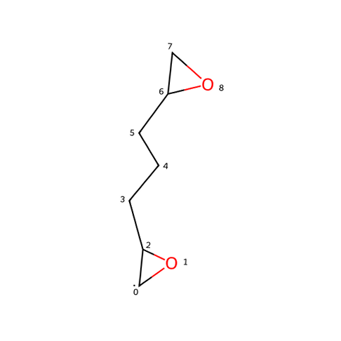 [CH]1OC1CCCC1CO1